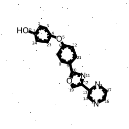 Oc1ccc(Oc2ccc(-c3nc(-c4cnccn4)co3)cc2)cc1